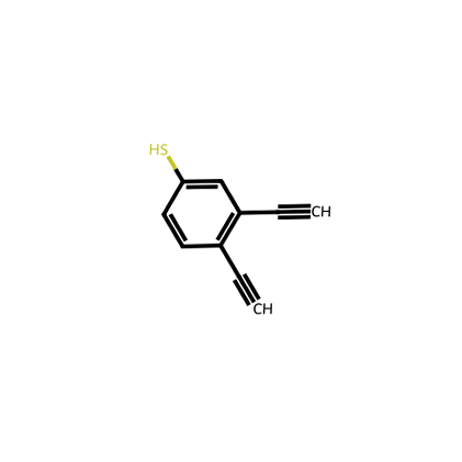 C#Cc1ccc(S)cc1C#C